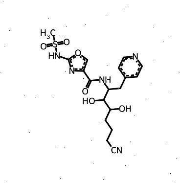 CS(=O)(=O)Nc1nc(C(=O)NC(Cc2ccncc2)C(O)C(O)CCCC#N)co1